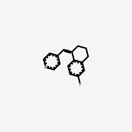 Fc1ccc2c(c1)CCC/C2=C/c1ccncc1